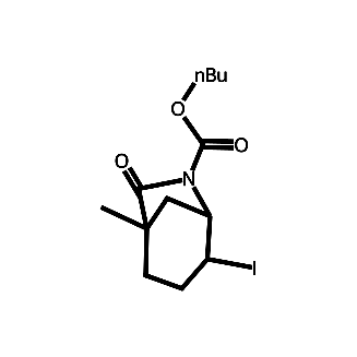 CCCCOC(=O)N1C(=O)C2(C)CCC(I)C1C2